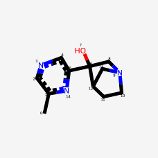 Cc1cncc(C2(O)CN3CCC2C3)n1